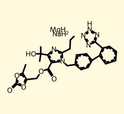 CCCc1nc(C(C)(C)O)c(C(=O)OCc2oc(=O)oc2C)n1Cc1ccc(-c2ccccc2-c2nn[nH]n2)cc1.[MgH2].[NaH]